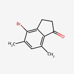 Cc1cc(C)c2c(c1Br)CCC2=O